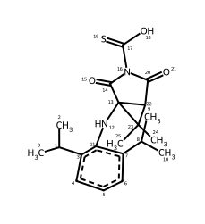 CC(C)c1cccc(C(C)C)c1NC12C(=O)N(C(O)=S)C(=O)C1C2(C)C